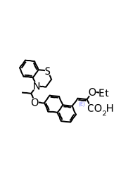 CCO/C(=C/c1cccc2cc(OC(C)N3CCSc4ccccc43)ccc12)C(=O)O